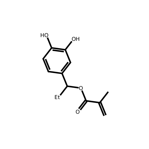 C=C(C)C(=O)OC(CC)c1ccc(O)c(O)c1